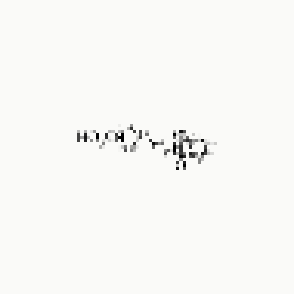 O=C(O)N1CCC(CC=CCN2C(=O)c3ccccc3C2=O)CC1